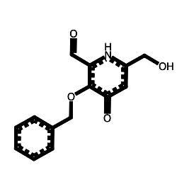 O=Cc1[nH]c(CO)cc(=O)c1OCc1ccccc1